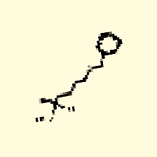 CCOC(=O)C(O)(O)CCCCOCc1ccccc1